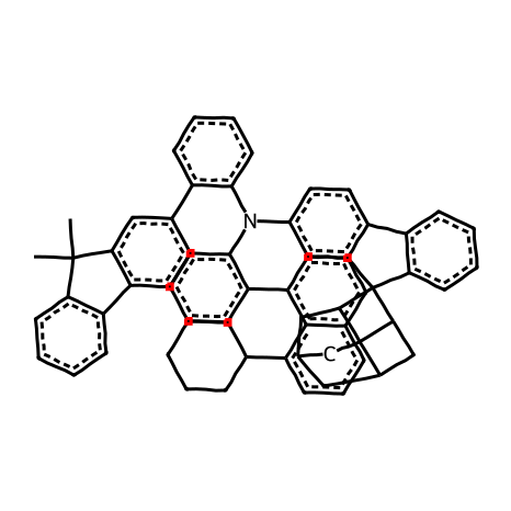 CC1(C)c2ccccc2-c2ccc(-c3ccccc3N(c3ccc4c(c3)C3(c5ccccc5-4)C4CC5CC6CC3C64C5)c3ccccc3-c3cccc4cccc(C5CCCCC5)c34)cc21